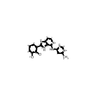 Cc1cc(Nc2nccc3nc(-c4cccc(Cl)c4Cl)[nH]c23)ncn1